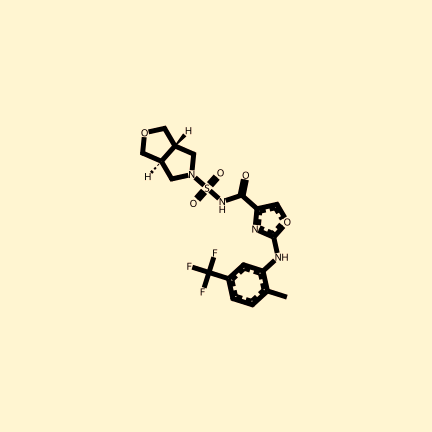 Cc1ccc(C(F)(F)F)cc1Nc1nc(C(=O)NS(=O)(=O)N2C[C@H]3COC[C@@H]3C2)co1